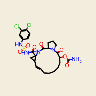 NC(=O)OC1CCCCC/C=C/C2CC2(C(=O)NS(=O)(=O)Nc2ccc(Cl)c(Cl)c2)NC(=O)C2CCCN2C1=O